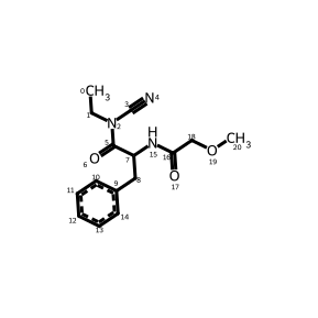 CCN(C#N)C(=O)C(Cc1ccccc1)NC(=O)COC